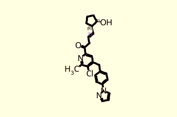 Cc1nc(C(=O)C/C=C/[C@H]2CCC[C@@H]2O)cc(Cc2ccc(-n3cccn3)cc2)c1Cl